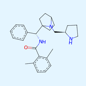 Cc1cccc(C)c1C(=O)N[C@H](c1ccccc1)C12CCC(CC1)N2C[C@H]1CCCN1